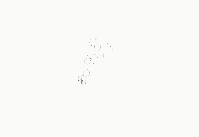 CCN1C(=O)COc2c(CN3CCOCC3)cc(Nc3nccc(-c4ccc5nnn(CC)c5c4)n3)cc21